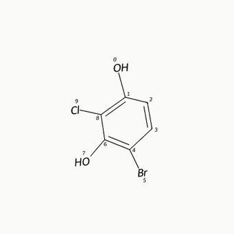 Oc1ccc(Br)c(O)c1Cl